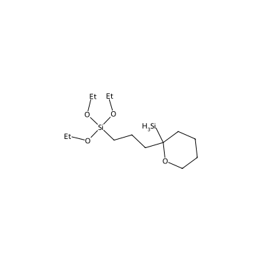 CCO[Si](CCCC1([SiH3])CCCCO1)(OCC)OCC